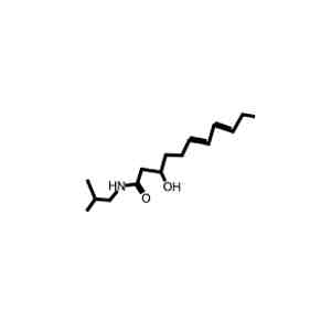 CC/C=C/C=CCCC(O)CC(=O)NCC(C)C